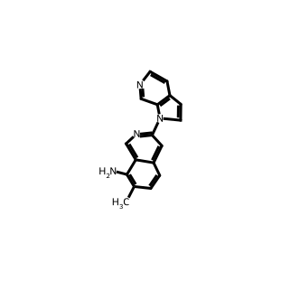 Cc1ccc2cc(-n3ccc4ccncc43)ncc2c1N